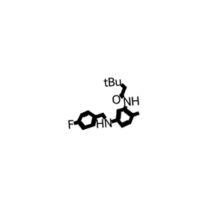 Cc1ccc(NCc2ccc(F)cc2)cc1NC(=O)CC(C)(C)C